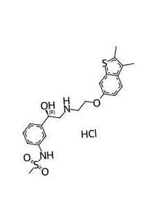 Cc1sc2cc(OCCNC[C@H](O)c3cccc(NS(C)(=O)=O)c3)ccc2c1C.Cl